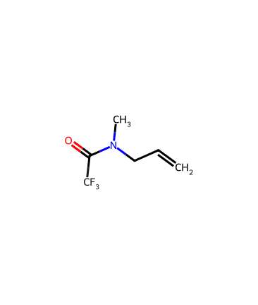 C=CCN(C)C(=O)C(F)(F)F